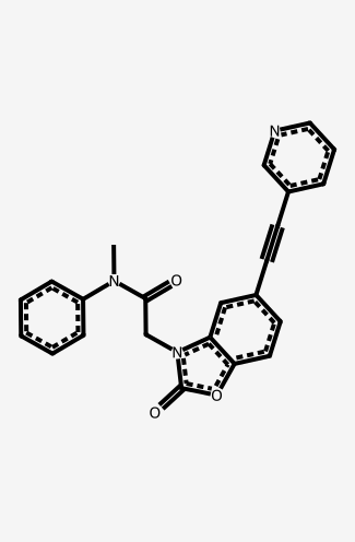 CN(C(=O)Cn1c(=O)oc2ccc(C#Cc3cccnc3)cc21)c1ccccc1